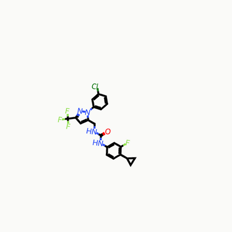 O=C(NCc1cc(C(F)(F)F)nn1-c1cccc(Cl)c1)Nc1ccc(C2CC2)c(F)c1